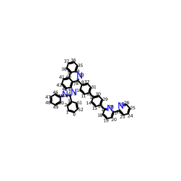 c1ccc(-c2nc3c4c(-c5ccc(-c6ccc(-c7cccc(-c8ccccn8)n7)cc6)cc5)nc5ccccc5c4ccc3n2-c2ccccc2)cc1